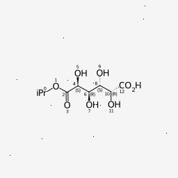 CC(C)OC(=O)[C@@H](O)[C@H](O)[C@H](O)[C@@H](O)C(=O)O